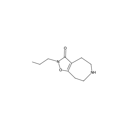 CCCn1oc2c(c1=O)CCNCC2